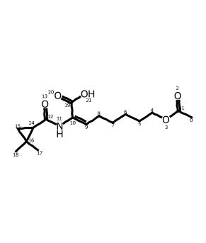 CC(=O)OCCCCCC=C(NC(=O)C1CC1(C)C)C(=O)O